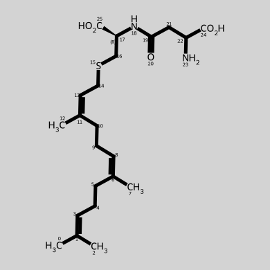 CC(C)=CCCC(C)=CCCC(C)=CCSC[C@H](NC(=O)CC(N)C(=O)O)C(=O)O